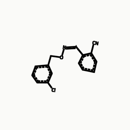 N#Cc1ccccc1/[C]=N\OCc1cccc(Cl)c1